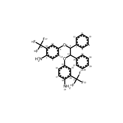 Nc1ccc(OC(c2ccccc2)C(Oc2ccc(N)c(C(F)(F)F)c2)c2ccccc2)cc1C(F)(F)F